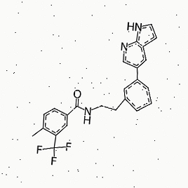 Cc1ccc(C(=O)NCCc2cccc(-c3cnc4[nH]ccc4c3)c2)cc1C(F)(F)F